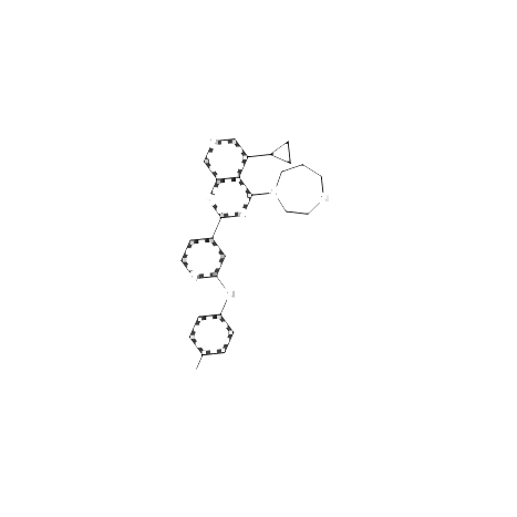 Fc1ccc(Nc2cc(-c3nc(N4CCCNCC4)c4c(C5CC5)cncc4n3)ccn2)cc1